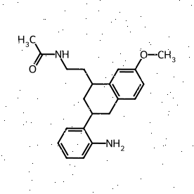 COc1ccc2c(c1)C(CCNC(C)=O)CC(c1ccccc1N)C2